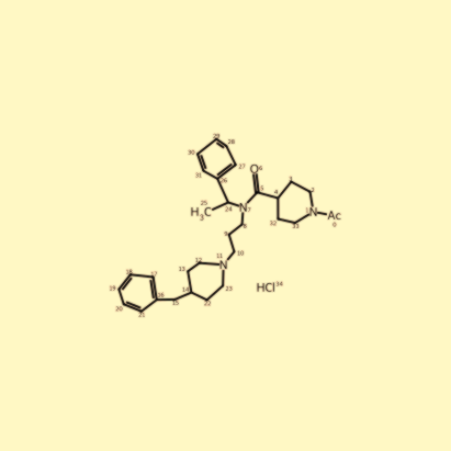 CC(=O)N1CCC(C(=O)N(CCCN2CCC(Cc3ccccc3)CC2)C(C)c2ccccc2)CC1.Cl